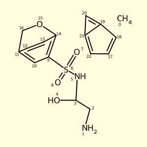 C.NCC(O)NS(=O)(=O)c1cc2ccc1OC2.c1cc2cc-2c1